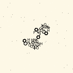 CN[C@@H](C)C(=O)NC(C(=O)N1C[C@@H](NC(=O)c2ccc(CN(C(=O)[C@@H]3Cc4ccccc4CN3C(=O)[C@@H](NC(=O)[C@H](C)NC)C(C)(C)C)[C@H](C)c3ccccc3F)cc2)C[C@H]1C(=O)N[C@@H]1CCCc2ccccc21)C(C)(C)C